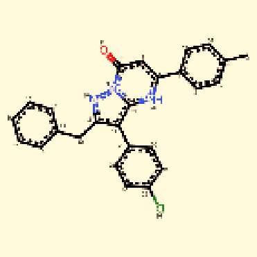 Cc1ccc(-c2cc(=O)n3nc(Cc4ccccc4)c(-c4ccc(Cl)cc4)c3[nH]2)cc1